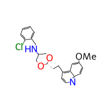 COc1ccc2nccc(CC[C@H]3OC[C@H](NCc4ccccc4Cl)CO3)c2c1